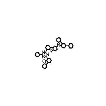 c1ccc(-c2ccc3c(c2)c2ccccc2n3-c2ccc3sc4c(-c5nc(-c6ccccc6)nc(-c6cccc7c6oc6ccccc67)n5)cccc4c3c2)cc1